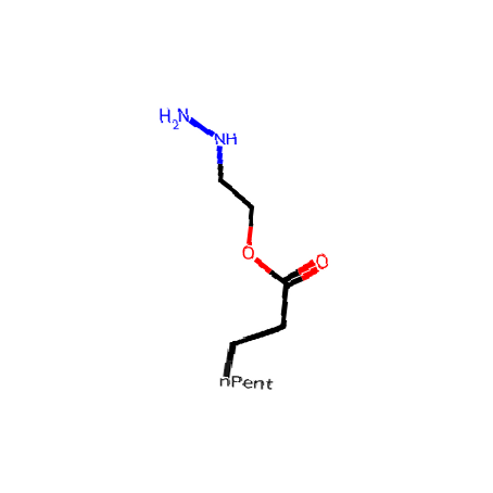 CCCCCCCC(=O)OCCNN